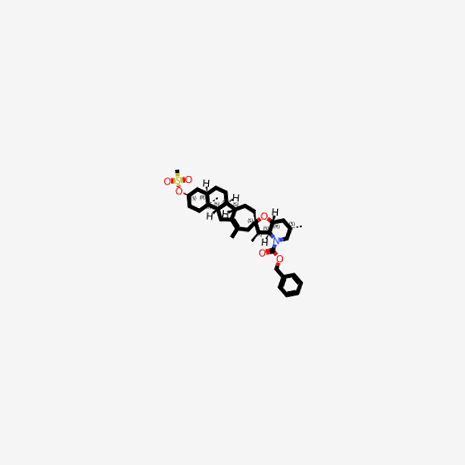 CC1=C2C[C@H]3[C@@H](CC[C@@H]4C[C@@H](OS(C)(=O)=O)CC[C@@]43C)[C@@H]2CC[C@@]2(C1)O[C@@H]1C[C@H](C)CN(C(=O)OCc3ccccc3)[C@H]1[C@H]2C